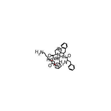 CC(C)CC(NC(=O)C(Cc1ccccc1)NC(=O)C(N)Cc1ccccc1)C(=O)NC(CCCCN)C(=O)N1CC2CC(C1)N2CCO